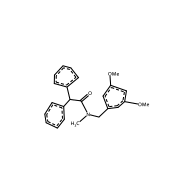 COc1cc(CN(C)C(=O)C(c2ccccc2)c2ccccc2)cc(OC)c1